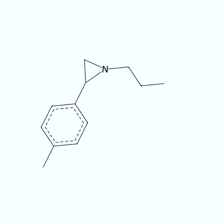 CCCN1CC1c1ccc(C)cc1